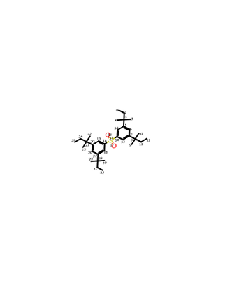 CCC(C)(C)c1cc(C(C)(C)CC)cc(S(=O)(=O)c2cc(C(C)(C)CC)cc(C(C)(C)CC)c2)c1